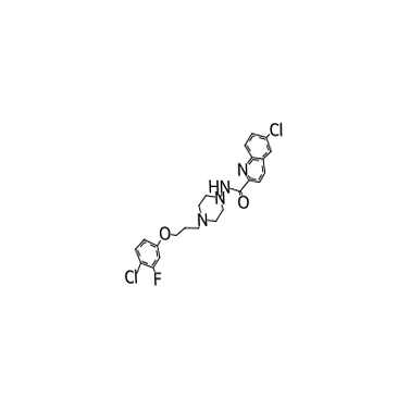 O=C(NN1CCN(CCCOc2ccc(Cl)c(F)c2)CC1)c1ccc2cc(Cl)ccc2n1